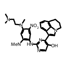 CNc1cc(N(C)CCN(C)C)c([N+](=O)[O-])cc1Nc1ncc(O)c(-c2cn3c4c(cccc24)CCC3)n1